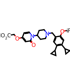 CC(C)Oc1cc(C2CC2)c(C2CC2)cc1CN1CCC(n2ccc(OCC(=O)O)cc2=O)CC1